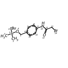 CC(C)(C)[Si](C)(C)OCc1ccc(NC(=O)CBr)cc1